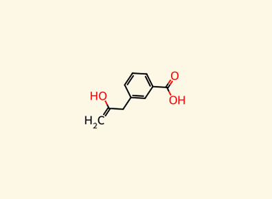 C=C(O)Cc1cccc(C(=O)O)c1